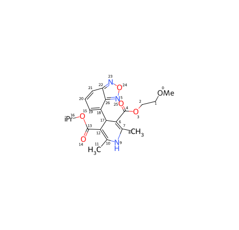 COCCOC(=O)C1=C(C)NC(C)=C(C(=O)OC(C)C)C1c1cccc2nonc12